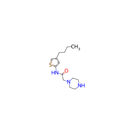 CCCCc1csc(NC(=O)CN2CCNCC2)c1